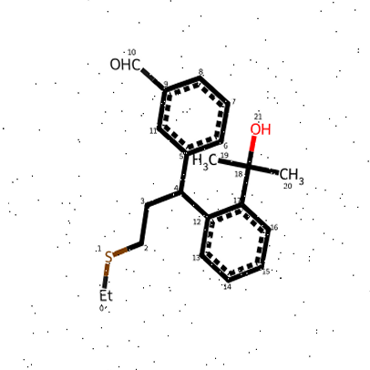 CCSCCC(c1cccc(C=O)c1)c1ccccc1C(C)(C)O